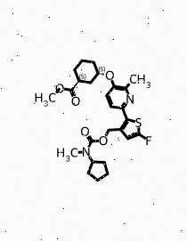 COC(=O)[C@H]1CCC[C@H](Oc2ccc(-c3sc(F)cc3COC(=O)N(C)C3CCCC3)nc2C)C1